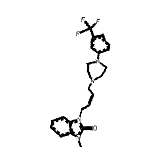 Cn1c(=O)n(C/C=C\CN2CCN(c3cccc(C(F)(F)F)c3)CC2)c2ccccc21